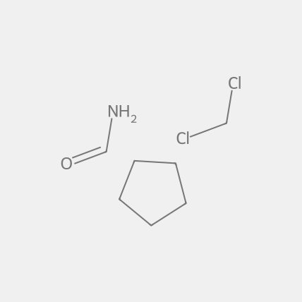 C1CCCC1.ClCCl.NC=O